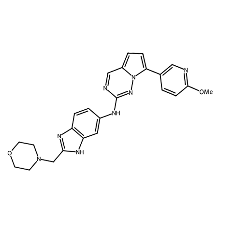 COc1ccc(-c2ccc3cnc(Nc4ccc5nc(CN6CCOCC6)[nH]c5c4)nn23)cn1